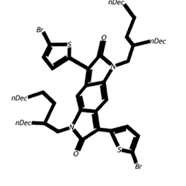 CCCCCCCCCCCCC(CCCCCCCCCC)CN1C(=O)C(c2ccc(Br)s2)=c2cc3c(cc21)=C(c1ccc(Br)s1)C(=O)N3CC(CCCCCCCCCC)CCCCCCCCCCCC